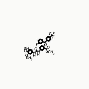 COC(=O)c1cc(NC(=O)Nc2ccc(OC)c(OC)c2)ccc1OC(c1ccc(C(F)(F)F)cc1)c1cccc(F)c1